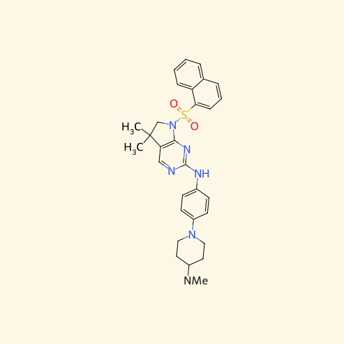 CNC1CCN(c2ccc(Nc3ncc4c(n3)N(S(=O)(=O)c3cccc5ccccc35)CC4(C)C)cc2)CC1